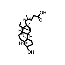 C[C@@H](CCC(=O)O)[C@H]1CC[C@H]2[C@@H]3CC[C@@H]4CC(O)CC[C@]4(C)[C@H]3C=C[C@]12C